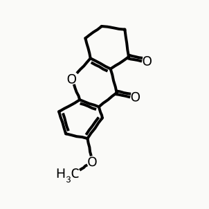 COc1ccc2oc3c(c(=O)c2c1)C(=O)CCC3